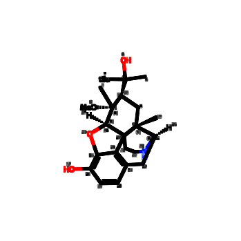 CO[C@]1(C)[C@@H](C(C)(O)C(C)(C)C)C[C@]2(C)[C@H]3Cc4ccc(O)c5c4C2(CCN3)[C@H]1O5